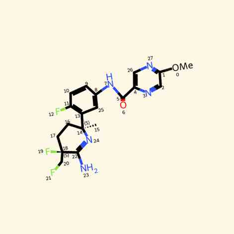 COc1cnc(C(=O)Nc2ccc(F)c([C@]3(C)CC[C@@](F)(CF)C(N)=N3)c2)cn1